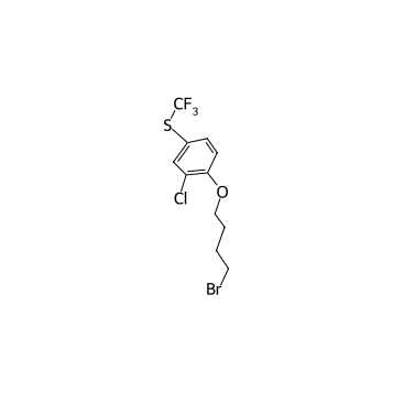 FC(F)(F)Sc1ccc(OCCCCBr)c(Cl)c1